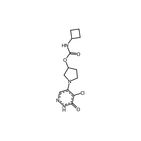 O=C(NC1CCC1)OC1CCN(c2cn[nH]c(=O)c2Cl)C1